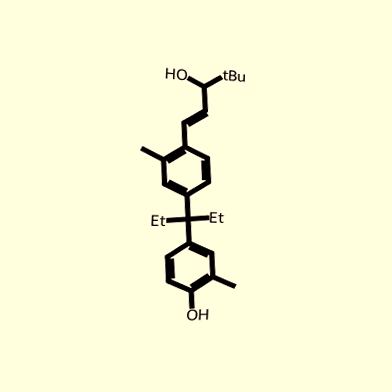 CCC(CC)(c1ccc(O)c(C)c1)c1ccc(C=CC(O)C(C)(C)C)c(C)c1